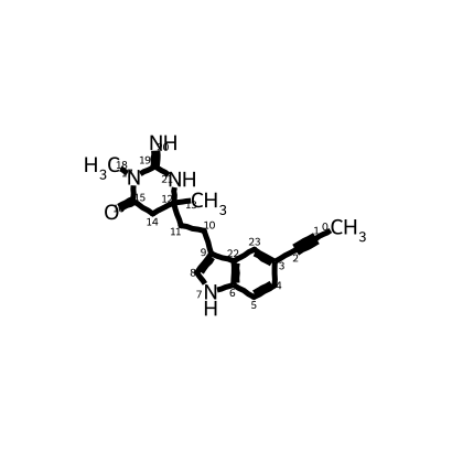 CC#Cc1ccc2[nH]cc(CCC3(C)CC(=O)N(C)C(=N)N3)c2c1